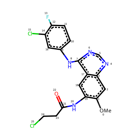 COc1cc2ncnc(Nc3ccc(F)c(Cl)c3)c2cc1NC(=O)CCCl